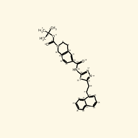 CC(C)(C)OC(=O)N1CCc2cc(C(=O)Nc3nnc(CCc4cccc5ccccc45)s3)ccc2C1